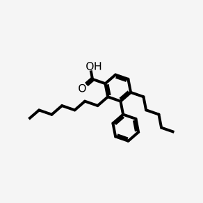 CCCCCCCc1c(C(=O)O)ccc(CCCCC)c1-c1ccccc1